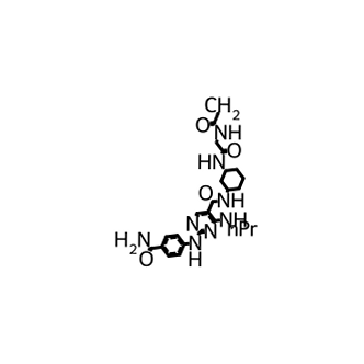 C=CC(=O)NCC(=O)NC1CCCC(NC(=O)c2cnc(Nc3ccc(C(N)=O)cc3)nc2NCCC)C1